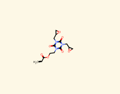 C=CC(=O)OCCn1c(=O)n(CC2CO2)c(=O)n(CC2CO2)c1=O